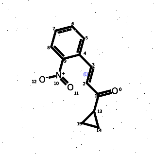 O=C(/C=C/c1ccccc1[N+](=O)[O-])C1CC1